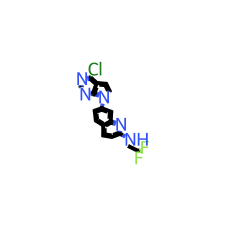 FC(F)CNc1ccc2ccc(-n3ccc4c(Cl)ncnc43)cc2n1